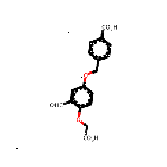 O=Cc1cc(OCc2ccc(C(=O)O)cc2)ccc1OCC(=O)O